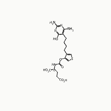 Nc1nc(N)c(CCCCc2cscc2OC(=O)N[C@@H](CCC(=O)O)C(=O)O)c(O)n1